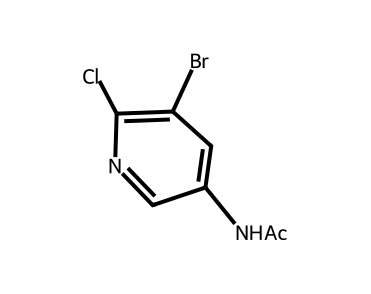 CC(=O)Nc1cnc(Cl)c(Br)c1